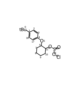 CC(C)(C)c1ccc(OC2CCCCC2OS(=O)OCl)cc1